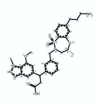 COc1cc(C(CC(=O)O)c2cccc(CN3C[C@@H](C)Oc4cc(CCCN)ccc4S3(=O)=O)c2)cc2nnn(C)c12